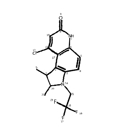 CC1c2c(ccc3[nH]c(=O)cc(Cl)c23)N(CC(F)(F)F)C1C